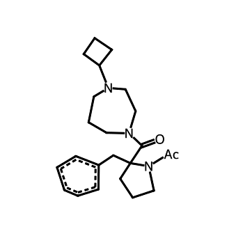 CC(=O)N1CCCC1(Cc1ccccc1)C(=O)N1CCCN(C2CCC2)CC1